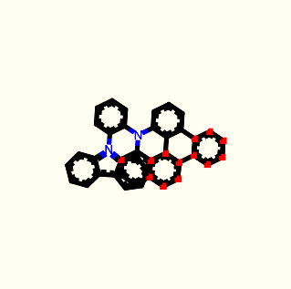 c1ccc(-c2ccccc2-c2c(-c3ccccc3)cccc2N(c2ccccc2-n2c3ccccc3c3ccccc32)c2cccc3ccccc23)cc1